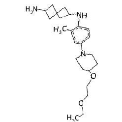 CCOCCOC1CCN(c2ccc(NC3CC4(CC(N)C4)C3)c(C)c2)CC1